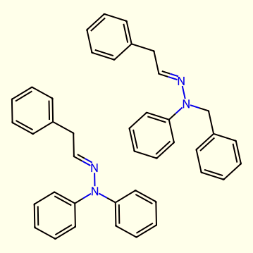 C(Cc1ccccc1)=NN(Cc1ccccc1)c1ccccc1.C(Cc1ccccc1)=NN(c1ccccc1)c1ccccc1